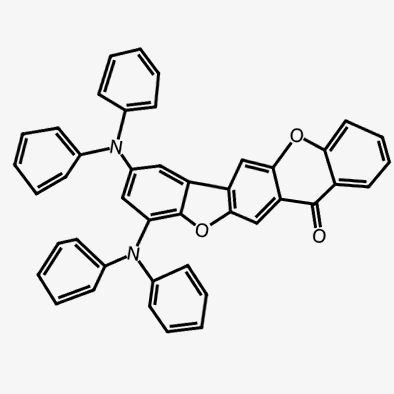 O=c1c2ccccc2oc2cc3c(cc12)oc1c(N(c2ccccc2)c2ccccc2)cc(N(c2ccccc2)c2ccccc2)cc13